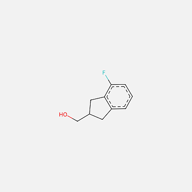 OCC1Cc2cccc(F)c2C1